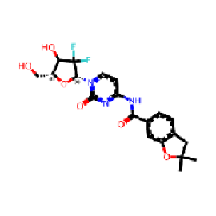 CC1(C)Cc2ccc(C(=O)Nc3ccn([C@@H]4O[C@H](CO)C(O)C4(F)F)c(=O)n3)cc2O1